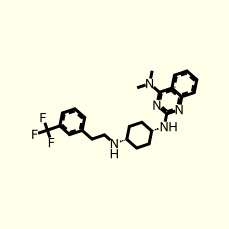 CN(C)c1nc(N[C@H]2CC[C@@H](NCCc3cccc(C(F)(F)F)c3)CC2)nc2ccccc12